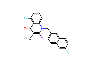 O=C(O)c1c(I)n(Cc2ccc3cc(F)ccc3c2)c2cccc(F)c2c1=O